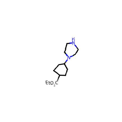 CCOC(=O)C1CCC(N2CCNCC2)CC1